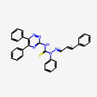 S=C(Nc1nnc(-c2ccccc2)c(-c2ccccc2)n1)N(/N=C/C=C/c1ccccc1)c1ccccc1